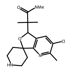 CNC(=O)C(C)(C)C1OC2(CCNCC2)c2nc(C)c(Cl)cc21